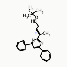 C/C(=C\CBOC(C)(C)C)c1nc(C2=CC=CC=CC2)cc(-c2ccccc2)n1